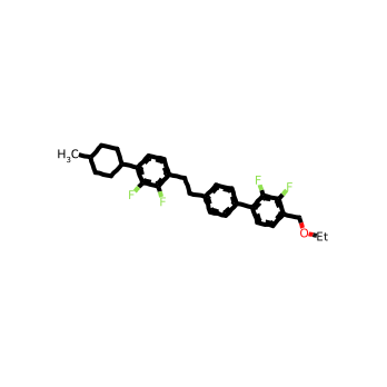 CCOCc1ccc(-c2ccc(CCc3ccc(C4CCC(C)CC4)c(F)c3F)cc2)c(F)c1F